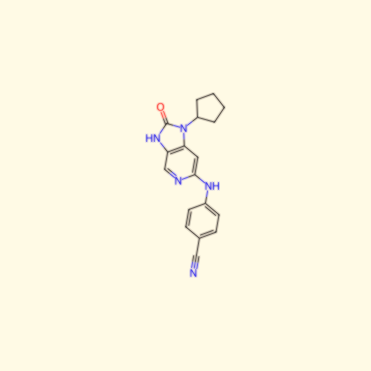 N#Cc1ccc(Nc2cc3c(cn2)[nH]c(=O)n3C2CCCC2)cc1